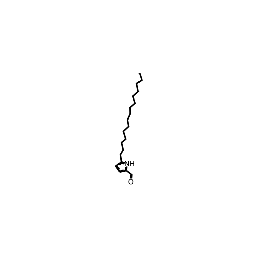 CCCCCCCCCCCCCCCc1ccc(C=O)[nH]1